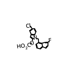 O=C(O)Oc1cc2cc(Cl)ccc2n1Cc1cccc2ccc(F)cc12